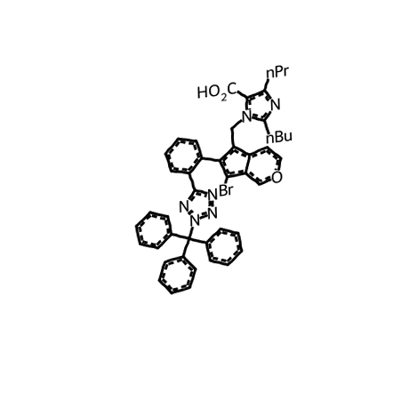 CCCCc1nc(CCC)c(C(=O)O)n1Cc1c2ccocc-2c(Br)c1-c1ccccc1-c1nnn(C(c2ccccc2)(c2ccccc2)c2ccccc2)n1